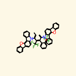 C=C(/C(=C(\C(=C\C)n1c2ccccc2c2c3oc4ccccc4c3ccc21)C(F)(F)F)c1ccccc1C(F)(F)F)n1c2ccccc2c2c3oc4ccccc4c3ccc21